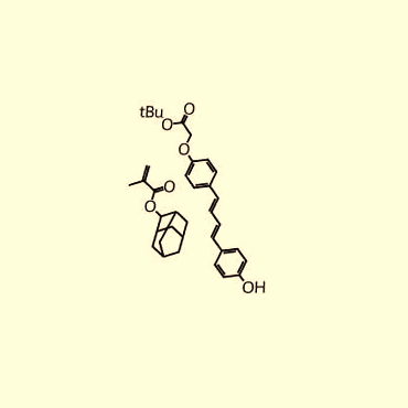 C=C(C)C(=O)OC1C2CC3CC(C2)CC1C3.CC(C)(C)OC(=O)COc1ccc(C=CC=Cc2ccc(O)cc2)cc1